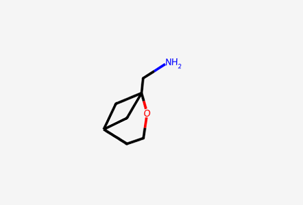 NCC12CC(CCO1)C2